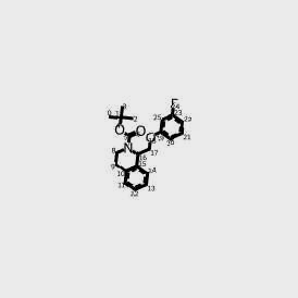 CC(C)(C)OC(=O)N1CCc2ccccc2C1COc1cccc(F)c1